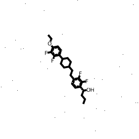 CCCC(O)c1ccc(CCC2CCC(c3ccc(OCC)c(F)c3F)CC2)c(F)c1F